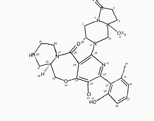 CC12CCC(=O)N1CCN(c1nc(-c3c(O)cccc3F)c(Cl)c3c1C(=O)N1CCNC[C@@H]1CO3)C2